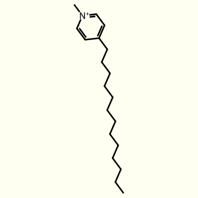 CCCCCCCCCCCCCc1cc[n+](C)cc1